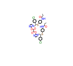 CCC(=O)Nc1ccc(SC(Cn2ccnc2OC(=O)C(=O)Oc2nccn2CC(Sc2ccc(NC(=O)CC)cc2)c2ccc(Cl)cc2)c2ccc(Cl)cc2)cc1